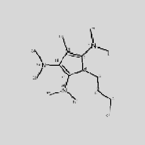 CCCC[C]1C(N(C)C)=C(C)C(N(C)C)=C1N(C)C